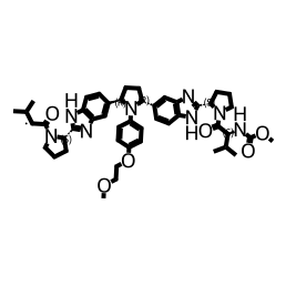 COCCOc1ccc(N2[C@@H](c3ccc4[nH]c([C@@H]5CCCN5C(=O)[CH]C(C)C)nc4c3)CC[C@@H]2c2ccc3[nH]c([C@@H]4CCCN4C(=O)[C@@H](NC(=O)OC)C(C)C)nc3c2)cc1